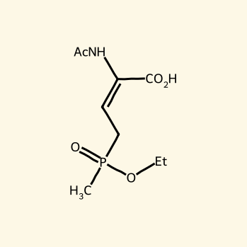 CCOP(C)(=O)CC=C(NC(C)=O)C(=O)O